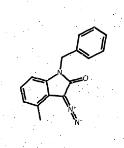 Cc1cccc2c1C(=[N+]=[N-])C(=O)N2Cc1ccccc1